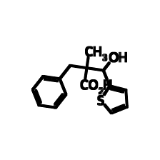 CC(Cc1ccccc1)(C(=O)O)C(O)c1cccs1